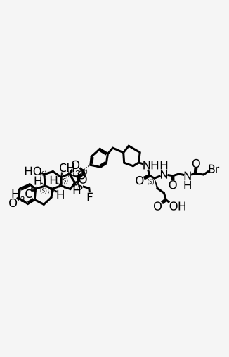 C[C@]12C=CC(=O)C=C1CC[C@@H]1[C@@H]2[C@@H](O)C[C@@]2(C)[C@H]1C[C@H]1O[C@@H](c3ccc(CC4CCC(NC(=O)[C@H](CCC(=O)O)NC(=O)CNC(=O)CBr)CC4)cc3)O[C@]12C(=O)SCF